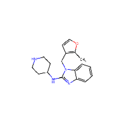 Cc1occc1Cn1c(NC2CCNCC2)nc2ccccc21